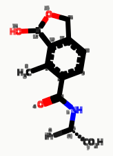 Cc1c(C(=O)N[C@H](C(=O)O)C(C)C)ccc2c1B(O)OC2